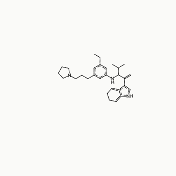 C=C(c1c[nH]c2c1=CCCC=2)C(Nc1cc(CC)cc(CCCN2CCCC2)c1)C(C)C